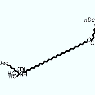 CCCCCCCCCCCCCCCCCC(=O)OCCCCCCCCCCCCCCCCCCCCCCCCCCCCCC(=O)NC(CO)C(O)C(O)CCCCCCCCCCCCCC